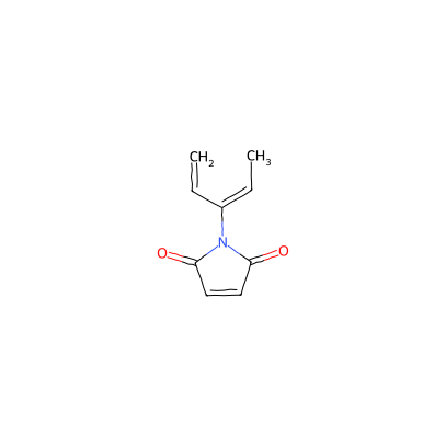 C=C/C(=C\C)N1C(=O)C=CC1=O